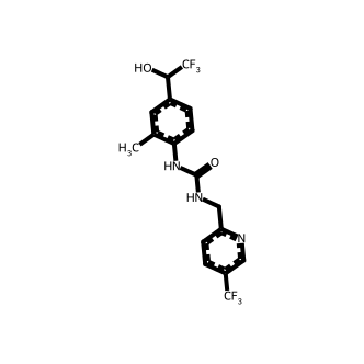 Cc1cc(C(O)C(F)(F)F)ccc1NC(=O)NCc1ccc(C(F)(F)F)cn1